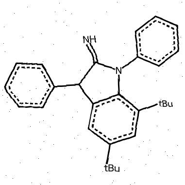 CC(C)(C)c1cc2c(c(C(C)(C)C)c1)N(c1ccccc1)C(=N)C2c1ccccc1